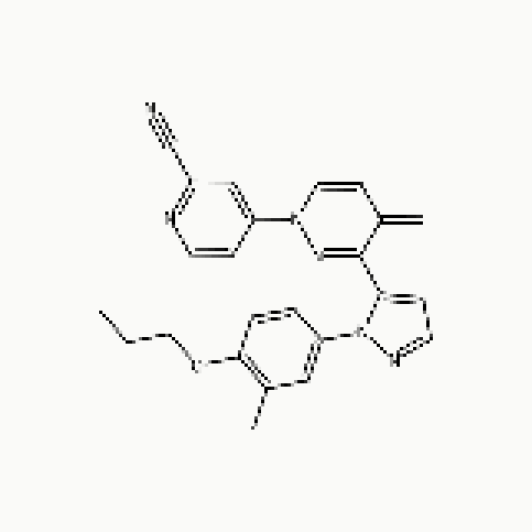 C=C1C=CN(c2ccnc(C#N)c2)N=C1c1ccnn1-c1ccc(OCCC)c(C)c1